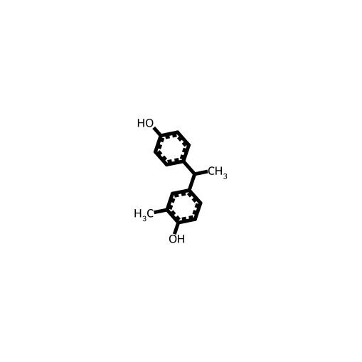 Cc1cc(C(C)c2ccc(O)cc2)ccc1O